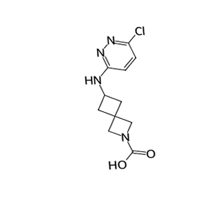 O=C(O)N1CC2(CC(Nc3ccc(Cl)nn3)C2)C1